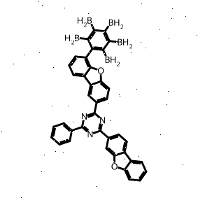 Bc1c(B)c(B)c(-c2cccc3c2oc2ccc(-c4nc(-c5ccccc5)nc(-c5ccc6c(c5)oc5ccccc56)n4)cc23)c(B)c1B